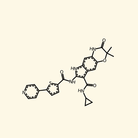 CC1(C)Oc2cc3c(C(=O)NC4CC4)c(NC(=O)c4ccc(-c5ccncc5)s4)[nH]c3cc2NC1=O